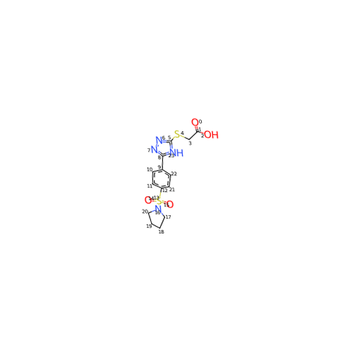 O=C(O)CSc1nnc(-c2ccc(S(=O)(=O)N3CCCC3)cc2)[nH]1